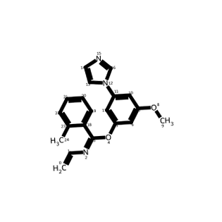 C=C/N=C(/Oc1cc(OC)cc(-n2ccnc2)c1)c1ccccc1C